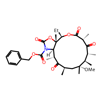 CC[C@H]1OC(=O)[C@H](C)C(=O)[C@H](C)[C@@H](C)[C@](C)(OC)C[C@@H](C)C(=O)[C@H](C)[C@H]2N(C(=O)OCc3ccccc3)C(=O)O[C@]12C